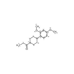 CCC(=O)N1CCN(c2ccc(OC)cc2OC)CC1